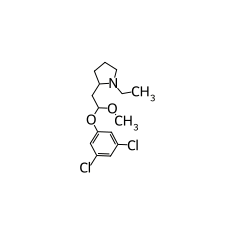 CCN1CCCC1CC(OC)Oc1cc(Cl)cc(Cl)c1